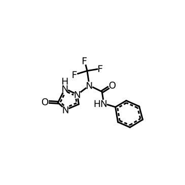 O=C(Nc1ccccc1)N(n1cnc(=O)[nH]1)C(F)(F)F